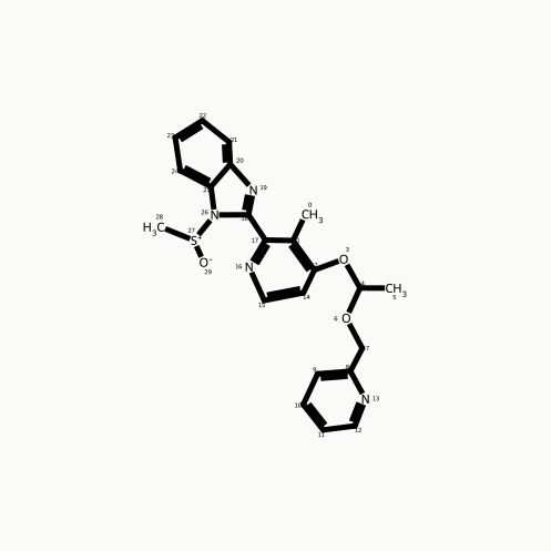 Cc1c(OC(C)OCc2ccccn2)ccnc1-c1nc2ccccc2n1[S+](C)[O-]